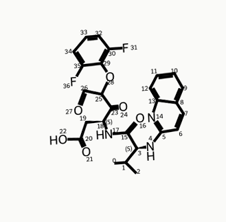 CC(C)[C@H](Nc1ccc2ccccc2n1)C(=O)N[C@@H](CC(=O)O)C(=O)C(C=O)Oc1c(F)cccc1F